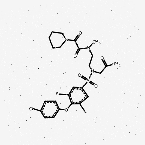 CN(CCN(CC(N)=O)S(=O)(=O)c1cc(F)c(Oc2ccc(Cl)cc2)c(F)c1)C(=O)C(=O)N1CCCCC1